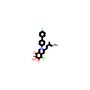 CC[C@H](C)/C=C(C)/C=C/C1=CC2=C(Cl)C(=O)[C@](C)(O)C(=O)C2=CN1c1ccc(-c2ccc(F)cc2)cc1